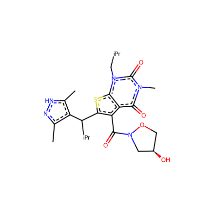 Cc1n[nH]c(C)c1C(c1sc2c(c1C(=O)N1C[C@H](O)CO1)c(=O)n(C)c(=O)n2CC(C)C)C(C)C